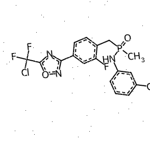 CP(=O)(Cc1ccc(-c2noc(C(F)(F)Cl)n2)cc1F)Nc1cccc(Cl)c1